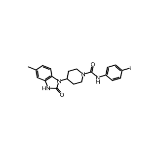 Cc1ccc2c(c1)[nH]c(=O)n2C1CCN(C(=O)Nc2ccc(I)cc2)CC1